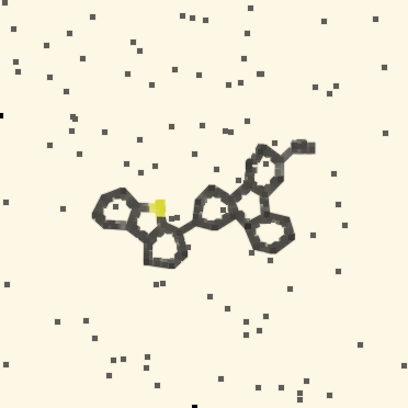 CC(C)(C)c1ccc2c3ccc(-c4cccc5c4sc4ccccc45)cc3c3ccccc3c2c1